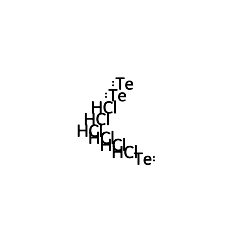 Cl.Cl.Cl.Cl.Cl.Cl.[Te].[Te].[Te]